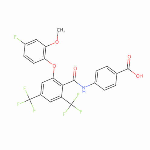 COc1cc(F)ccc1Oc1cc(C(F)(F)F)cc(C(F)(F)F)c1C(=O)Nc1ccc(C(=O)O)cc1